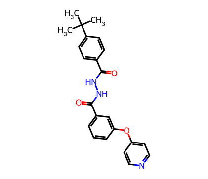 CC(C)(C)c1ccc(C(=O)NNC(=O)c2cccc(Oc3ccncc3)c2)cc1